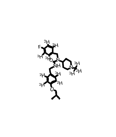 [2H]c1c([2H])c(CN(C(=O)NCc2c([2H])c([2H])c(OCC(C)C)c([2H])c2[2H])C2CCN(C([2H])([2H])[2H])CC2)c([2H])c([2H])c1F